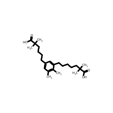 Cc1cc(CCCCC(C)(C)C(=O)O)cc(CCCCCC(C)(C)C(=O)O)c1C